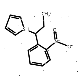 [CH2]CC(c1ccccc1[N+](=O)[O-])[SH]1C=CC=C1